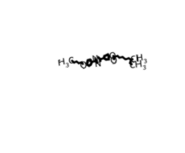 CCCCCOc1ccc(-c2ncc(-c3ccc(OC(=O)CCCCCC(C)CC)cc3)cn2)cc1